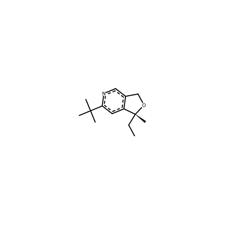 CC[C@@]1(C)OCc2cnc(C(C)(C)C)cc21